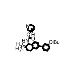 CC(C)COc1cccc(-c2ccc3c(c2)CCC(C)(C)[C@H]3NC(=O)O[C@@H]2CN3CCC2CC3)c1